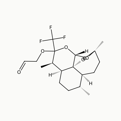 C[C@@H]1CC[C@H]2[C@@H](C)C(OCC=O)(C(F)(F)F)O[C@@H]3O[C@]4(C)CC[C@@H]1[C@]32OO4